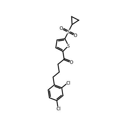 O=C(CCCc1ccc(Cl)cc1Cl)c1ccc(S(=O)(=O)C2CC2)s1